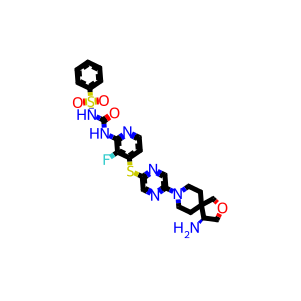 N[C@@H]1COCC12CCN(c1cnc(Sc3ccnc(NC(=O)NS(=O)(=O)c4ccccc4)c3F)cn1)CC2